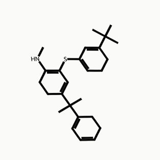 CNC1=C(SC2=CCCC(C(C)(C)C)=C2)C=C(C(C)(C)C2=CC=CCC2)CC1